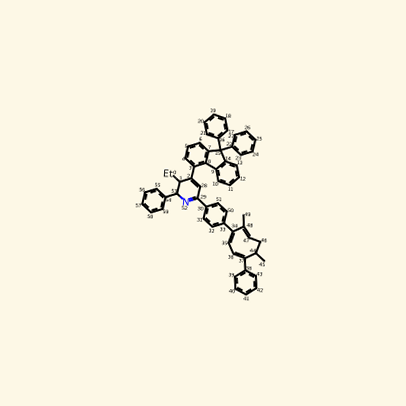 CCC1C(c2cccc3c2-c2ccccc2C3(c2ccccc2)c2ccccc2)=CC(c2ccc(C3=C/C=C(/c4ccccc4)C(C)C\C=C\3C)cc2)=NC1c1ccccc1